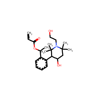 C=CC(=O)OC(C)c1ccccc1C1C(O)CC(C)(C)N(CCO)C1(C)C